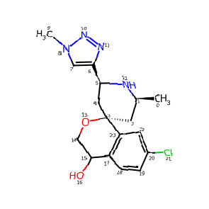 C[C@H]1C[C@@]2(C[C@@H](c3cn(C)nn3)N1)OCC(O)c1ccc(Cl)cc12